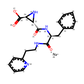 O=C(NCCc1ccccn1)[C@H](Cc1ccccc1)NC(=O)[C@H]1N[C@@H]1C(=O)[O-].[Na+]